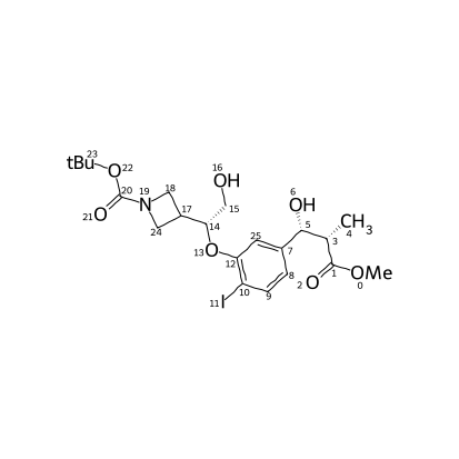 COC(=O)[C@@H](C)[C@@H](O)c1ccc(I)c(O[C@@H](CO)C2CN(C(=O)OC(C)(C)C)C2)c1